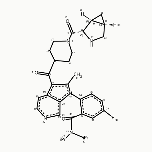 Cc1c(C(=O)C2CCN(C(=O)[C@H]3NC[C@@H]4C[C@@H]43)CC2)c2ccncc2n1-c1ccc(F)cc1C(=O)N(C(C)C)C(C)C